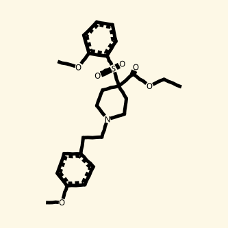 CCOC(=O)C1(S(=O)(=O)c2ccccc2OC)CCN(CCc2ccc(OC)cc2)CC1